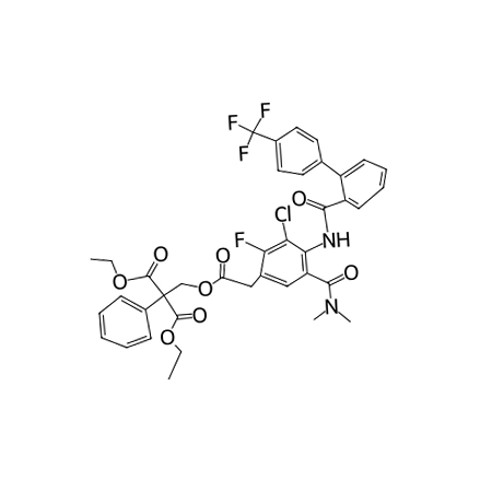 CCOC(=O)C(COC(=O)Cc1cc(C(=O)N(C)C)c(NC(=O)c2ccccc2-c2ccc(C(F)(F)F)cc2)c(Cl)c1F)(C(=O)OCC)c1ccccc1